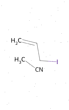 C=CCI.CC#N